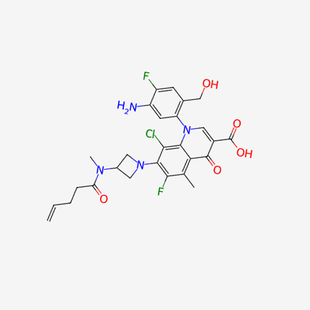 C=CCCC(=O)N(C)C1CN(c2c(F)c(C)c3c(=O)c(C(=O)O)cn(-c4cc(N)c(F)cc4CO)c3c2Cl)C1